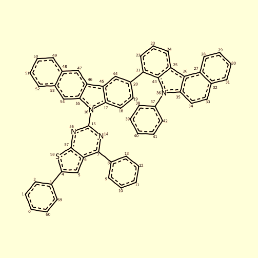 c1ccc(-c2cc3c(-c4ccccc4)nc(-n4c5ccc(-c6cccc7c8c9ccccc9ccc8n(-c8ccccc8)c67)cc5c5cc6ccccc6cc54)nc3s2)cc1